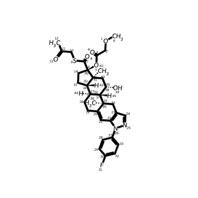 COCC(=O)O[C@]1(C(=O)SCC(C)=O)CC[C@H]2[C@@H]3CCC4=Cc5c(cnn5-c5ccc(F)cc5)C[C@]4(C)[C@H]3[C@@H](O)C[C@@]21C